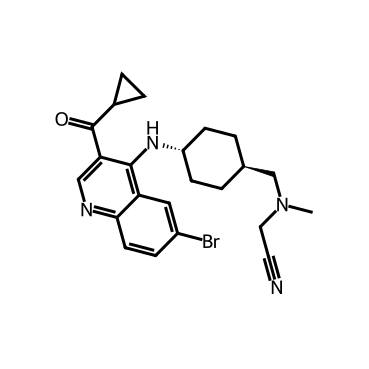 CN(CC#N)C[C@H]1CC[C@H](Nc2c(C(=O)C3CC3)cnc3ccc(Br)cc23)CC1